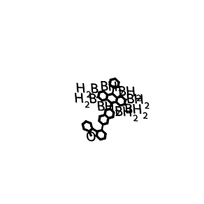 Bc1c(B)c(B)c2c(-c3ccc4cc(-c5cccc6oc7ccccc7c56)ccc4c3)c3c(B)c(B)c(B)c(B)c3c(-c3ccccc3)c2c1B